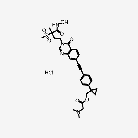 CN(C)CC(=O)OCC1(c2ccc(C#Cc3ccc4c(=O)n(CCC(C)(C(=O)NO)S(C)(=O)=O)cnc4c3)cc2)CC1.Cl